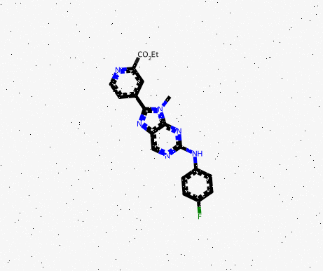 CCOC(=O)c1cc(-c2nc3cnc(Nc4ccc(F)cc4)nc3n2C)ccn1